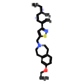 C=C(/C=C\C(=C/C)C(F)(F)F)c1cc(CN2CCc3ccc(OCC(=O)OCC)cc3CC2)sn1